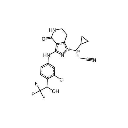 N#CC[C@@H](C1CC1)n1nc(Nc2ccc(C(O)C(F)(F)F)c(Cl)c2)c2c1CCNC2=O